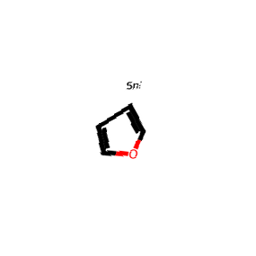 [Sn].c1ccoc1